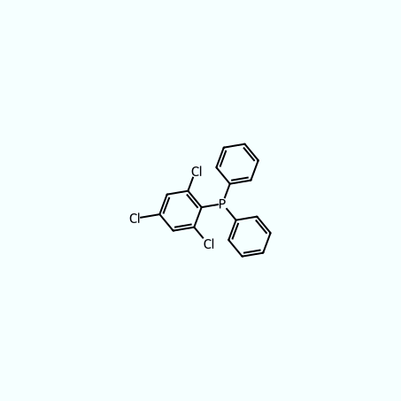 Clc1cc(Cl)c(P(c2ccccc2)c2ccccc2)c(Cl)c1